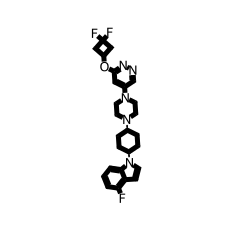 Fc1cccc2c1ccn2[C@H]1CC[C@@H](N2CCN(c3cnnc(OC4CC(F)(F)C4)c3)CC2)CC1